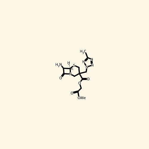 COC(=O)COC(=O)C1(Cn2nnc(C)n2)CS[C@@H]2C(N)C(=O)N2C1